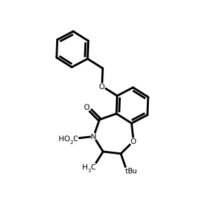 CC1C(C(C)(C)C)Oc2cccc(OCc3ccccc3)c2C(=O)N1C(=O)O